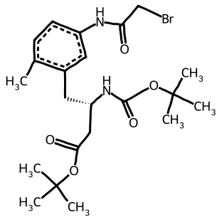 Cc1ccc(NC(=O)CBr)cc1C[C@@H](CC(=O)OC(C)(C)C)NC(=O)OC(C)(C)C